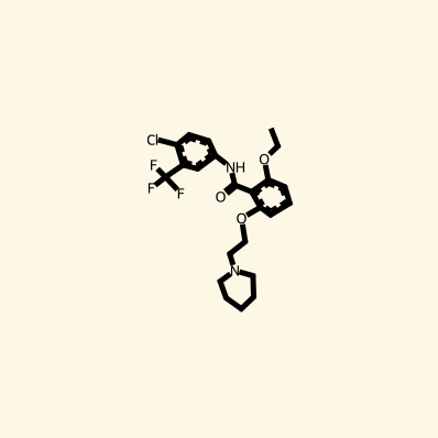 CCOc1cccc(OCCN2CCCCC2)c1C(=O)Nc1ccc(Cl)c(C(F)(F)F)c1